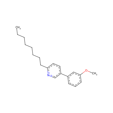 CCCCCCCCc1ccc(-c2cccc(OC)c2)cn1